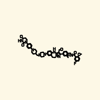 COc1ccc(F)cc1C(=O)NCc1ccc(-c2nn3c(c2C=O)Nc2ccc(N4CCN(CC5CCN(c6ccc(N7CCC(=O)NC7=O)cc6)CC5)CC4)cc2CC3)cc1C